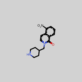 O=c1c2cccc([N+](=O)[O-])c2ccn1CC1CCNCC1